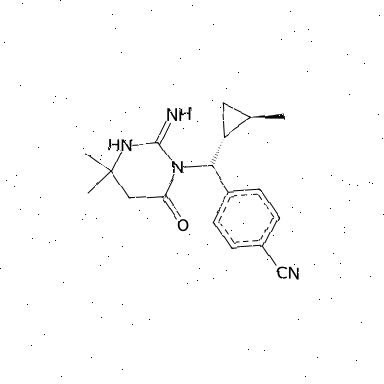 C[C@@H]1C[C@H]1C(c1ccc(C#N)cc1)N1C(=N)NC(C)(C)CC1=O